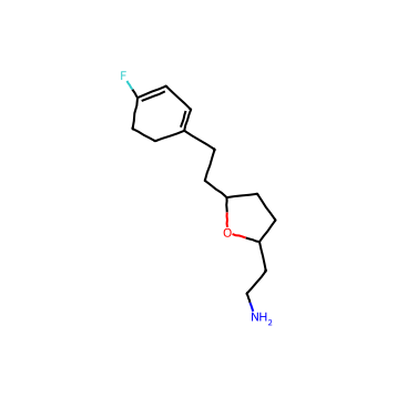 NCCC1CCC(CCC2=CC=C(F)CC2)O1